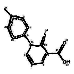 Cc1ccc([C@@H]2C=CC=C(C(=O)O)C2=S)cc1